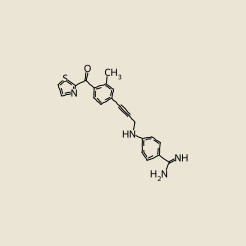 Cc1cc(C#CCNc2ccc(C(=N)N)cc2)ccc1C(=O)c1nccs1